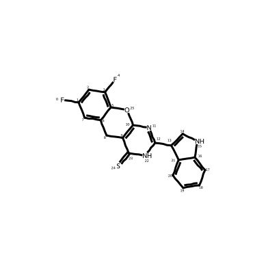 Fc1cc(F)c2c(c1)Cc1c(nc(-c3c[nH]c4ccccc34)[nH]c1=S)O2